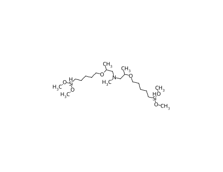 CO[SiH](CCCCCOC(C)CN(C)CC(C)OCCCCC[SiH](OC)OC)OC